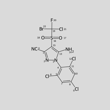 N#Cc1nn(-c2c(Cl)cc(Cl)cc2Cl)c(N)c1S(=O)(=O)C(F)(Cl)Br